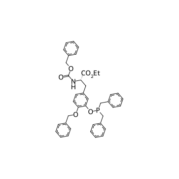 CCOC(=O)[C@H](Cc1ccc(OCc2ccccc2)c(OP(Cc2ccccc2)Cc2ccccc2)c1)NC(=O)OCc1ccccc1